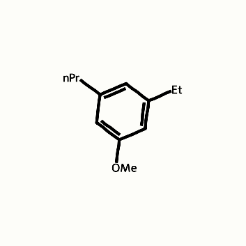 CCCc1cc(CC)cc(OC)c1